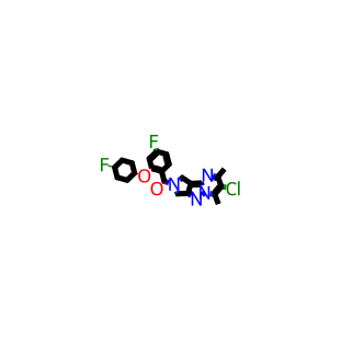 Cc1nc2c3c(nn2c(C)c1Cl)CN(C(=O)c1ccc(F)cc1O[C@H]1CC[C@@H](F)CC1)C3